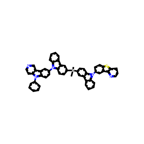 C[Si](C)(c1ccc2c(c1)c1ccccc1n2-c1ccc2sc3cccnc3c2c1)c1ccc2c(c1)c1ccccc1n2-c1ccc2c(c1)c1cnccc1n2-c1ccccc1